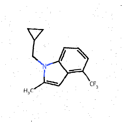 Cc1cc2c(C(F)(F)F)cccc2n1CC1CC1